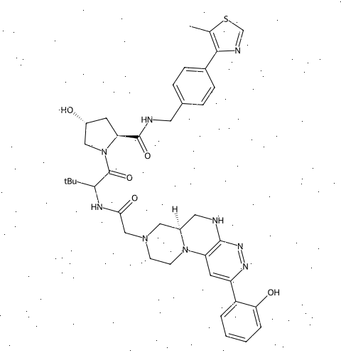 Cc1scnc1-c1ccc(CNC(=O)[C@@H]2C[C@@H](O)CN2C(=O)C(NC(=O)CN2CCN3c4cc(-c5ccccc5O)nnc4NC[C@@H]3C2)C(C)(C)C)cc1